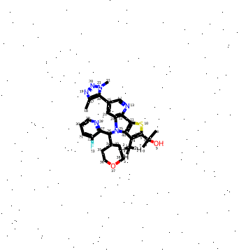 [2H]C([2H])([2H])c1c(C(C)(C)O)sc2c3ncc(-c4c(C)nnn4C)cc3n(C(c3ncccc3F)C3CCOCC3)c12